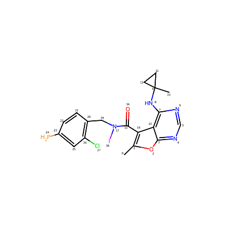 Cc1oc2ncnc(NC3(C)CC3)c2c1C(=O)N(I)Cc1ccc(P)cc1Cl